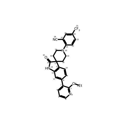 CCOc1ncccc1-c1ccc2c(c1)NC(=O)C21CCN(c2ccc(C(F)(F)F)cc2C#N)CC1